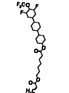 C=CC(=O)OCCCCCCC(=O)OC1CCC(C2CCC(C3CC(F)C(OC(F)(F)F)C(F)C3)CC2)CC1